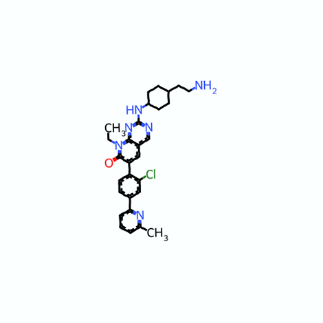 CCn1c(=O)c(-c2ccc(-c3cccc(C)n3)cc2Cl)cc2cnc(NC3CCC(CCN)CC3)nc21